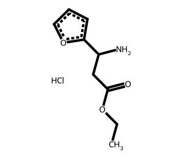 CCOC(=O)CC(N)c1ccco1.Cl